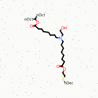 CCCCCCCCCCSCCOC(=O)CCCCCCCN(CCO)CCCCCCCC(=O)OC(CCCCCCCC)CCCCCCCC